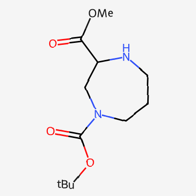 COC(=O)C1CN(C(=O)OC(C)(C)C)CCCN1